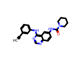 C#Cc1cccc(Nc2ncnc3ccc(NC(=O)N4CCCCC4)cc23)c1